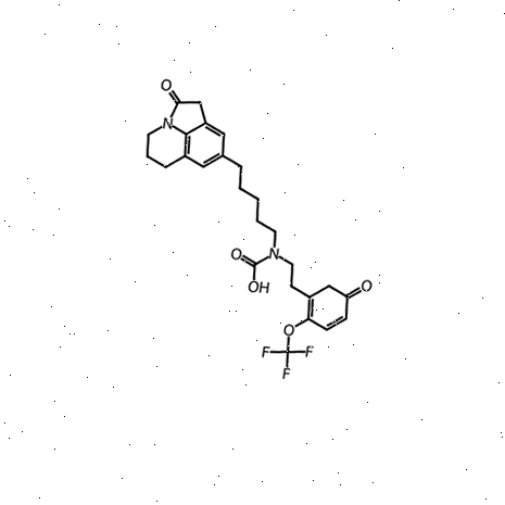 O=C1C=CC(OC(F)(F)F)=C(CCN(CCCCCc2cc3c4c(c2)CC(=O)N4CCC3)C(=O)O)C1